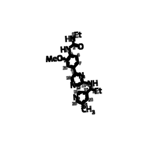 CCNC(=O)Nc1ccc(-c2cncc(NC(CC)c3cncc(C)c3)n2)cc1OC